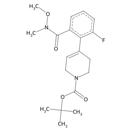 CON(C)C(=O)c1cccc(F)c1C1=CCN(C(=O)OC(C)(C)C)CC1